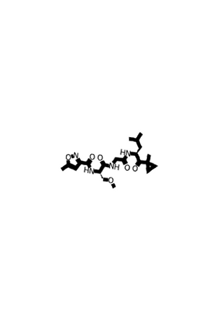 COC[C@H](NC(=O)c1cc(C)on1)C(=O)NCC(=O)N[C@@H](CC(C)C)C(=O)C1(C)CC1